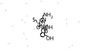 CSCC[C@@H](C(=O)N[C@H]1Cc2cccc(CO)c2OB1O)n1cc(CN)nn1